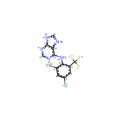 FC(F)(F)c1cc(Cl)cc(Cl)c1Nc1ncnc2[nH]cnc12